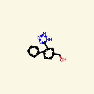 OCc1ccc(-c2ccccc2)c(-c2nnn[nH]2)c1